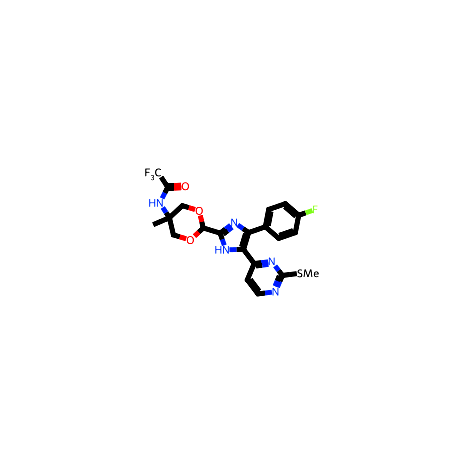 CSc1nccc(-c2[nH]c(C3OCC(C)(NC(=O)C(F)(F)F)CO3)nc2-c2ccc(F)cc2)n1